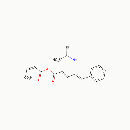 CCC(N)S(=O)(=O)O.O=C(O)/C=C\C(=O)OC(=O)C=CC=Cc1ccccc1